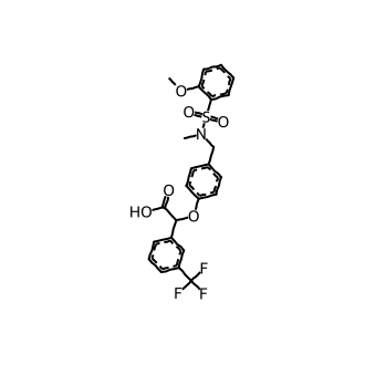 COc1ccccc1S(=O)(=O)N(C)Cc1ccc(OC(C(=O)O)c2cccc(C(F)(F)F)c2)cc1